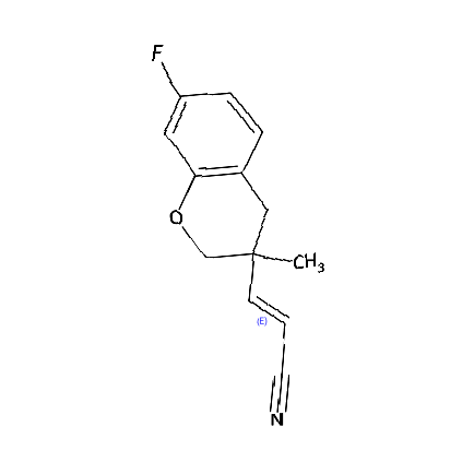 CC1(/C=C/C#N)COc2cc(F)ccc2C1